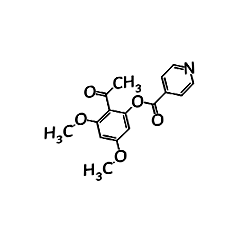 COc1cc(OC)c(C(C)=O)c(OC(=O)c2ccncc2)c1